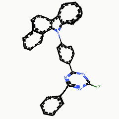 Clc1nc(-c2ccccc2)nc(-c2ccc(-n3c4ccccc4c4ccc5ccccc5c43)cc2)n1